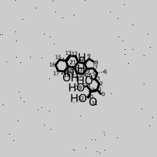 CC(CC(O)[C@@H](C)[C@H]1CC[C@H]2[C@@H]3CC=C4CCCC(O)[C@]4(C)[C@H]3CC[C@]12C)=C(CO)C(=O)O